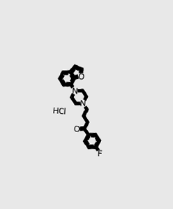 Cl.O=C(CCCN1CCN(c2cccc3ccoc23)CC1)c1ccc(F)cc1